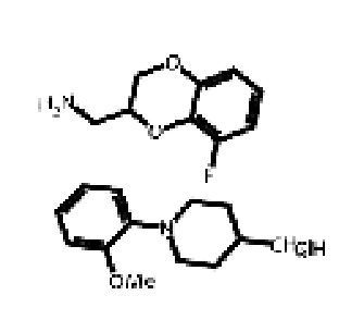 COc1ccccc1N1CCC(C)CC1.Cl.NCC1COc2cccc(F)c2O1